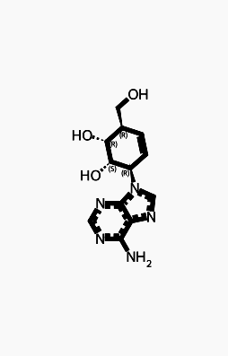 Nc1ncnc2c1ncn2[C@@H]1C=C[C@H](CO)[C@@H](O)[C@H]1O